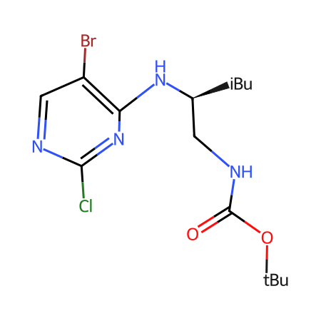 CCC(C)[C@@H](CNC(=O)OC(C)(C)C)Nc1nc(Cl)ncc1Br